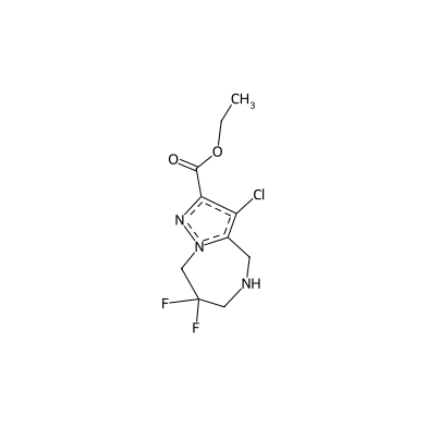 CCOC(=O)c1nn2c(c1Cl)CNCC(F)(F)C2